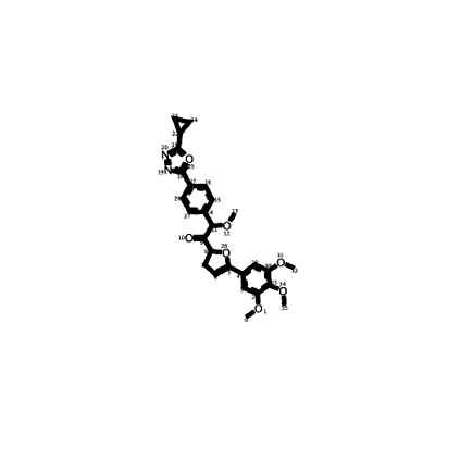 COc1cc(C2=CCC(C(=O)C(OC)c3ccc(-c4nnc(C5CC5)o4)cc3)O2)cc(OC)c1OC